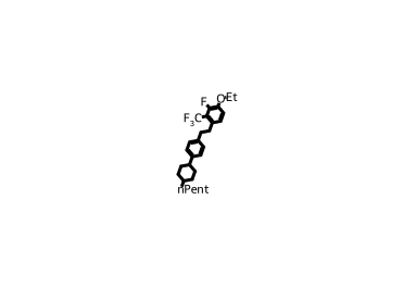 CCCCCC1CCC(c2ccc(CCc3ccc(OCC)c(F)c3C(F)(F)F)cc2)CC1